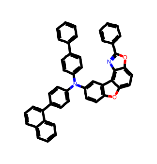 c1ccc(-c2ccc(N(c3ccc(-c4cccc5ccccc45)cc3)c3ccc4oc5ccc6oc(-c7ccccc7)nc6c5c4c3)cc2)cc1